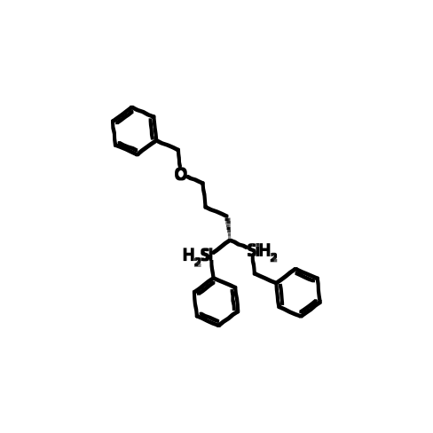 c1ccc(COCCC[C@H]([SiH2]Cc2ccccc2)[SiH2]c2ccccc2)cc1